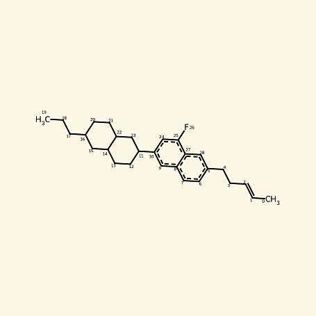 C/C=C/CCc1ccc2cc(C3CCC4CC(CCC)CCC4C3)cc(F)c2c1